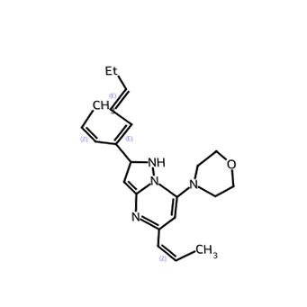 C/C=C\C1=NC2=CC(C(/C=C\C)=C/C=C/CC)NN2C(N2CCOCC2)=C1